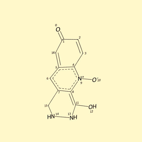 O=C1C=Cc2c(cc3c([n+]2[O-])=C(O)NNC3)=C1